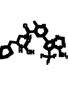 Cc1ncc(-c2cc(C(F)(F)F)c3c(N)ncnn23)cc1C(=O)NCC(Cc1ccccc1)NC(=O)O